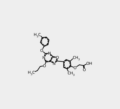 CCCOc1nc(Oc2cccc(C)c2)nc2oc(-c3cc(C)c(OCC(=O)O)c(C)c3)nc12